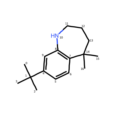 CC(C)(C)c1ccc2c(c1)NCCCC2(C)C